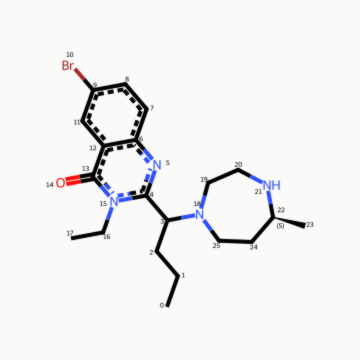 CCCC(c1nc2ccc(Br)cc2c(=O)n1CC)N1CCN[C@@H](C)CC1